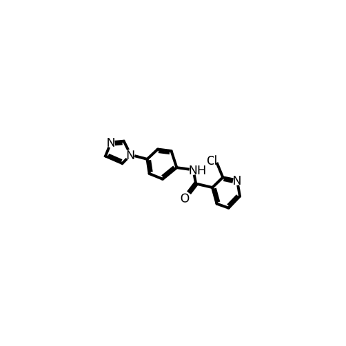 O=C(Nc1ccc(-n2ccnc2)cc1)c1cccnc1Cl